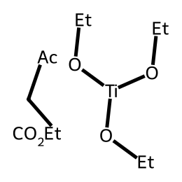 CCOC(=O)CC(C)=O.CC[O][Ti]([O]CC)[O]CC